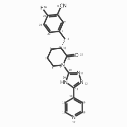 N#Cc1cc(C[C@H]2CCCN(c3nnc(-c4ccncc4)[nH]3)C2=O)ccc1F